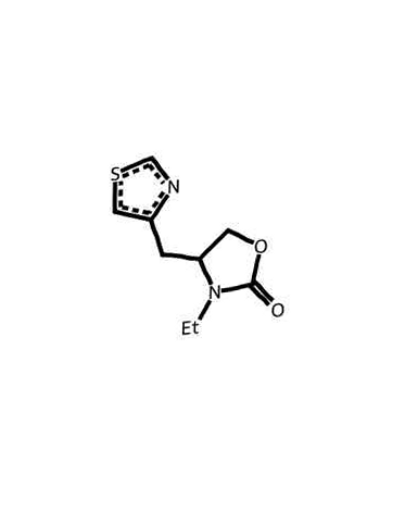 CCN1C(=O)OCC1Cc1cscn1